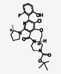 C[C@H]1CCCN1c1nc(-c2c(O)cccc2F)c(Cl)c2c1C(=O)N1CCN(C(=O)OC(C)(C)C)C[C@@H]1CO2